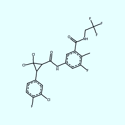 Cc1c(F)cc(NC(=O)C2C(c3ccc(F)c(Cl)c3)C2(Cl)Cl)cc1C(=O)NCC(F)(F)F